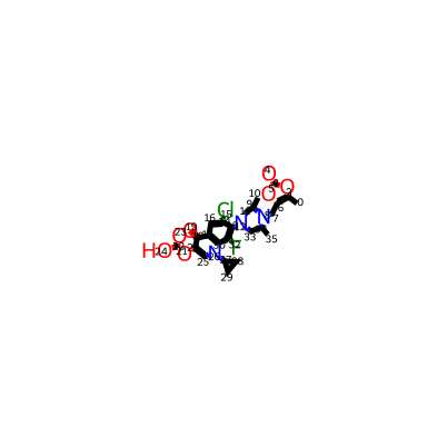 Cc1oc(=O)oc1CN1C(C)CN(c2c(Cl)cc3c(=O)c(OC(=O)O)cn(C4CC4)c3c2F)CC1C